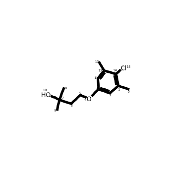 Cc1cc(OCCC(C)(C)O)cc(C)c1Cl